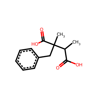 CC(C(=O)O)C(C)(Cc1ccccc1)C(=O)O